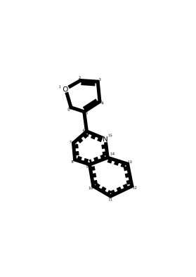 [CH]1OC=CC=C1c1ccc2ccccc2n1